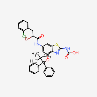 CC(C)(C)[Si](Oc1cc(NC(=O)C(Br)Cc2ccccc2Cl)cc2sc(NC(=O)O)nc12)(c1ccccc1)c1ccccc1